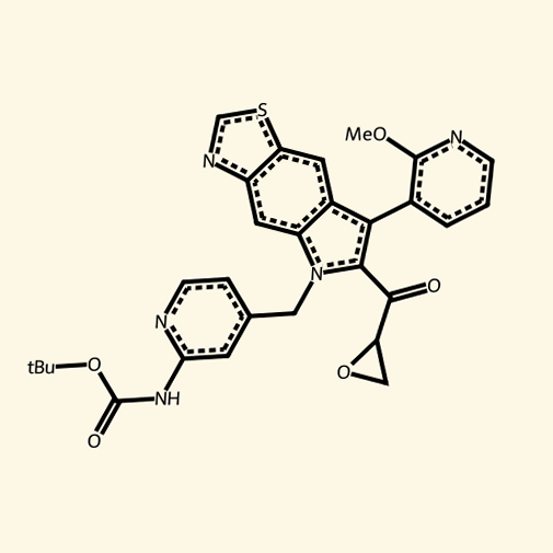 COc1ncccc1-c1c(C(=O)C2CO2)n(Cc2ccnc(NC(=O)OC(C)(C)C)c2)c2cc3ncsc3cc12